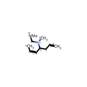 C=CCC(/C=C\C)N(C)CNC